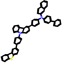 C1=CC2C(C=C1c1ccc(N(c3ccc(-c4ccccc4)cc3)c3ccc4ccccc4c3)cc1)c1ccccc1N2c1ccc(-c2ccc3sc4ccccc4c3c2)cc1